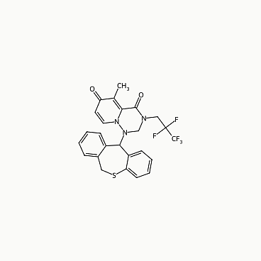 Cc1c2n(ccc1=O)N(C1c3ccccc3CSc3ccccc31)CN(CC(F)(F)C(F)(F)F)C2=O